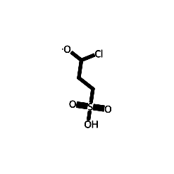 [O]C(Cl)CCS(=O)(=O)O